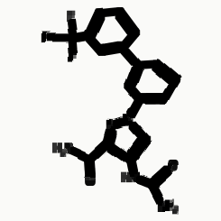 NC(=O)Nc1cn(-c2cccc(-c3cccc(C(F)(F)F)c3)c2)nc1C(N)=O